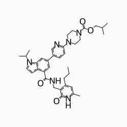 CCCc1cc(C)[nH]c(=O)c1CNC(=O)c1cc(-c2ccc(N3CCN(C(=O)OCC(C)C)CC3)nc2)cc2c1ccn2C(C)C